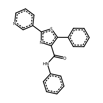 O=C(Nc1ccccc1)c1nc(-c2cccnc2)sc1-c1ccccc1